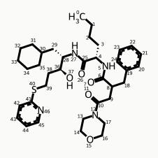 CCCC[C@H](NC(=O)C(CC(=O)N1CCOCC1)Cc1ccccc1)C(=O)N[C@@H](CC1CCCCC1)[C@@H](O)CCSc1ccccn1